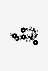 COc1ccc2c(Oc3ccc(NC(=O)c4c(C)n(C[C@H](C)OC(=O)C(C)NC(=O)OCc5ccccc5)n(-c5ccccc5)c4=O)cc3F)ccnc2c1